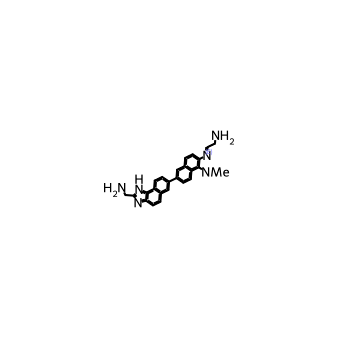 CNc1c(/N=C/CN)ccc2cc(-c3ccc4c(ccc5nc(CN)[nH]c54)c3)ccc12